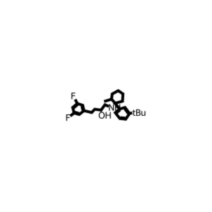 CC1CCCCC1(NC[C@@H](O)CCc1cc(F)cc(F)c1)c1cccc(C(C)(C)C)c1